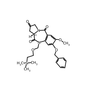 COc1cc2c(cc1OCc1ccccc1)N(COCC[Si](C)(C)C)C(=O)[C@@H]1CC(=O)CN1C2=O